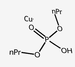 CCCOP(=O)(O)OCCC.[Cu]